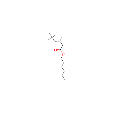 CCCCC[CH]OC(=O)CC(C)CC(C)(C)C